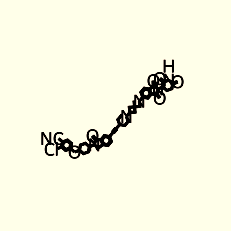 N#Cc1ccc(OC2CCC(N3Cc4ccc(C#CC5CCN(C6CC7(C6)CN(c6ccc8c(c6)C(=O)N(C6CCC(=O)NC6=O)C8=O)C7)CC5)cc4C3=O)CC2)cc1Cl